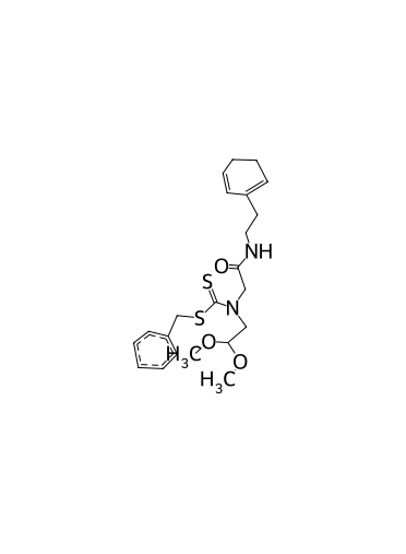 COC(CN(CC(=O)NCCC1=CCCC=C1)C(=S)SCc1ccccc1)OC